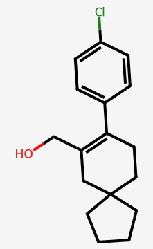 OCC1=C(c2ccc(Cl)cc2)CCC2(CCCC2)C1